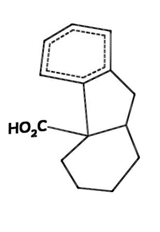 O=C(O)C12CCCCC1Cc1ccccc12